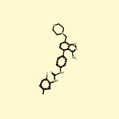 Cc1ccc(F)c(NC(=O)Nc2ccc(-c3ccc(CN4CCOCC4)c4onc(N)c34)cc2)c1